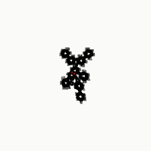 c1ccc(-c2ccc(N(c3ccccc3-c3cccc(-n4c5ccc(-c6ccccc6)cc5c5cc(-c6ccccc6)ccc54)c3)c3cccc4c3sc3ccccc34)cc2)cc1